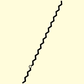 CCCCCCCCCCCCCCCCCCCCCCCCOCCCCCC